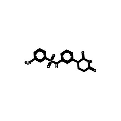 O=C1CCC(c2cccc(NS(=O)(=O)c3cccc([N+](=O)[O-])c3)c2)C(=O)N1